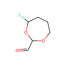 O=CC1OCCCC(F)O1